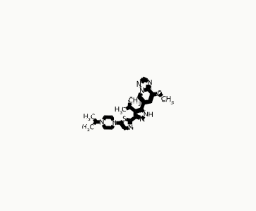 COc1cc(-c2[nH]nc(-c3ncc(N4CCN(C(C)C)CC4)s3)c2C(C)C)cn2ncnc12